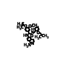 CCOc1cc(C(Nc2ccc3c(N)nccc3c2)C(=O)NCc2ccccc2OCC(C)C)ccc1OC(C)C